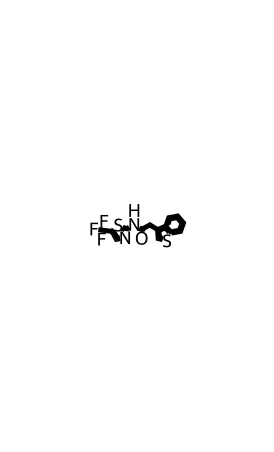 O=C(Cc1csc2ccccc12)Nc1ncc(C(F)(F)F)s1